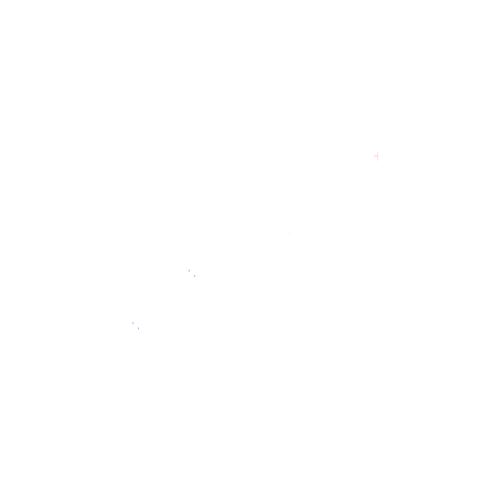 CN1CCN(CCOc2ccccc2B(O)O)CC1